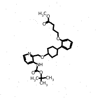 COC(=O)CCCOc1ccccc1C1CCC(OCc2ncccc2NC(=O)OC(C)(C)C)CC1